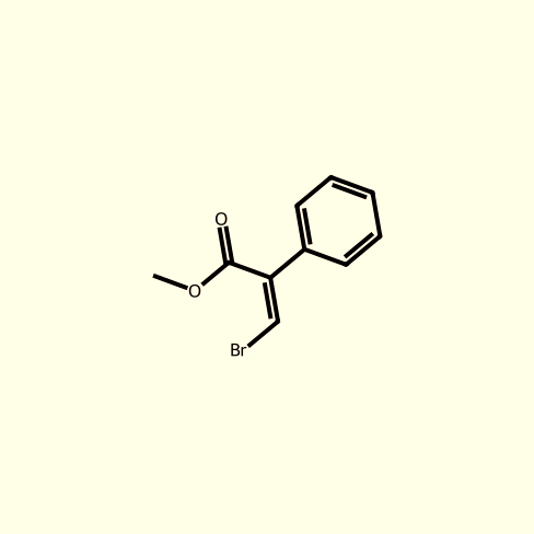 COC(=O)C(=CBr)c1ccccc1